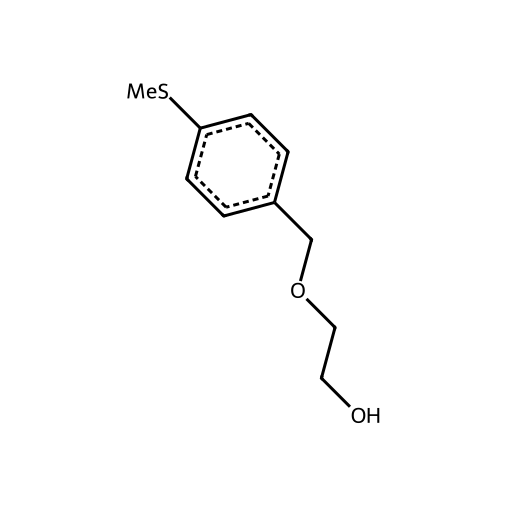 CSc1ccc(COCCO)cc1